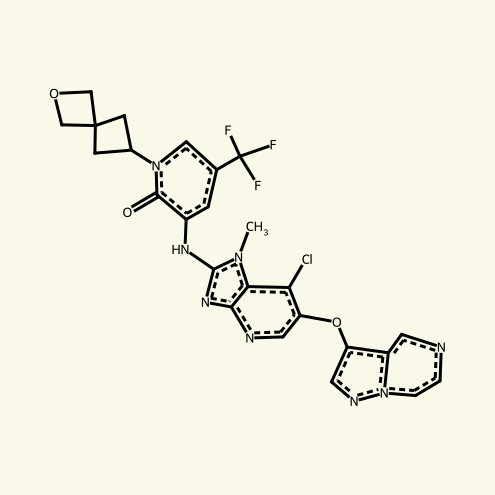 Cn1c(Nc2cc(C(F)(F)F)cn(C3CC4(COC4)C3)c2=O)nc2ncc(Oc3cnn4ccncc34)c(Cl)c21